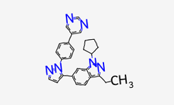 CCc1nn(C2CCCC2)c2cc(-c3ccnn3-c3ccc(-c4cncnc4)cc3)ccc12